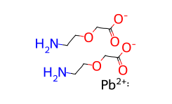 NCCOCC(=O)[O-].NCCOCC(=O)[O-].[Pb+2]